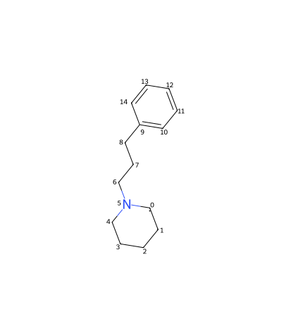 [CH]1CCCCN1CCCc1ccccc1